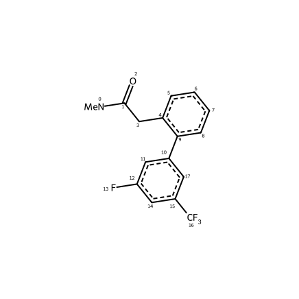 CNC(=O)Cc1ccccc1-c1cc(F)cc(C(F)(F)F)c1